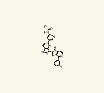 Cc1cccc(-c2nccc3[nH]c(-c4n[nH]c5ccc(-c6cncc(NC(=O)C(C)C)c6)nc45)nc23)c1